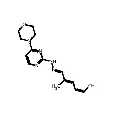 C\C=C/C=C(C)/C=N/Nc1nccc(N2CCOCC2)n1